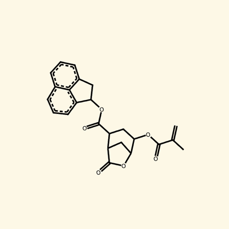 C=C(C)C(=O)OC1CC(C(=O)OC2Cc3cccc4cccc2c34)C2CC1OC2=O